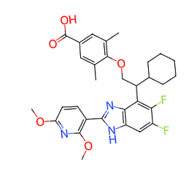 COc1ccc(-c2nc3c(C(COc4c(C)cc(C(=O)O)cc4C)C4CCCCC4)c(F)c(F)cc3[nH]2)c(OC)n1